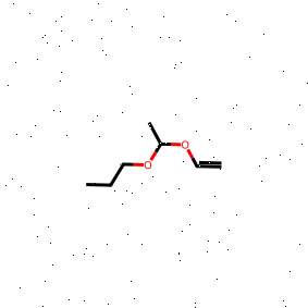 C=COC(C)O[CH]CC